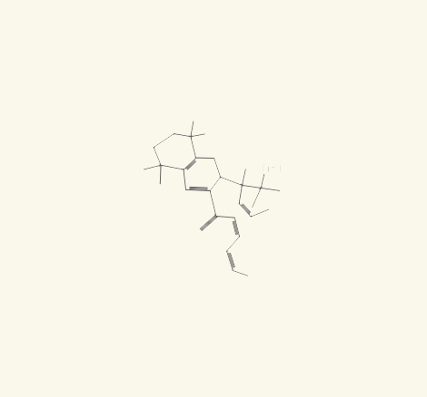 C=C(/C=C\C=C/C)C1=CC2=C(CC1C(C)(C=CC)C(C)(C)CCC)C(C)(C)CCC2(C)C